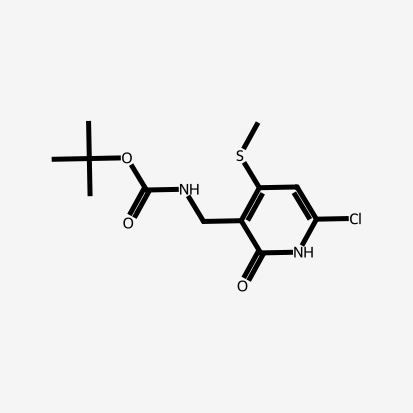 CSc1cc(Cl)[nH]c(=O)c1CNC(=O)OC(C)(C)C